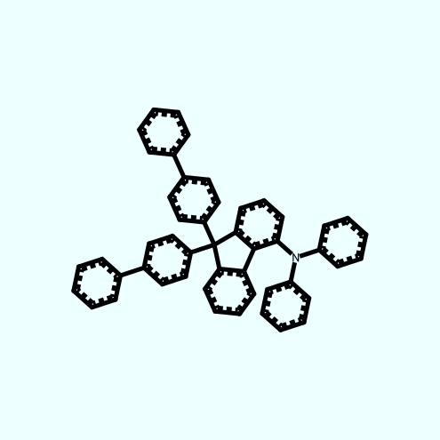 c1ccc(-c2ccc(C3(c4ccc(-c5ccccc5)cc4)c4ccccc4-c4c(N(c5ccccc5)c5ccccc5)cccc43)cc2)cc1